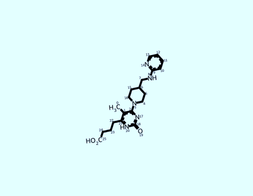 Cc1c(N2CCC(CNc3ccccn3)CC2)nc(=O)[nH]c1CCCC(=O)O